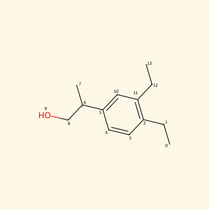 CCc1ccc([C](C)CO)cc1CC